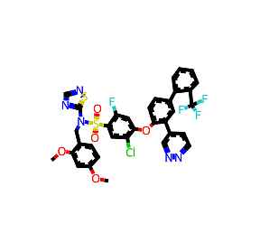 COc1ccc(CN(c2ncns2)S(=O)(=O)c2cc(Cl)c(Oc3ccc(-c4ccccc4C(F)(F)F)cc3-c3ccnnc3)cc2F)c(OC)c1